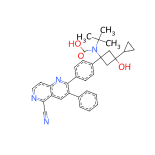 CC(C)(C)N(C(=O)O)C1(c2ccc(-c3nc4ccnc(C#N)c4cc3-c3ccccc3)cc2)CC(O)(C2CC2)C1